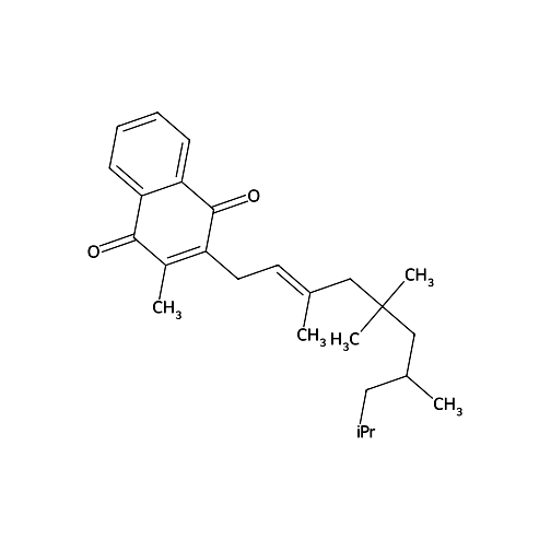 CC1=C(C/C=C(\C)CC(C)(C)CC(C)CC(C)C)C(=O)c2ccccc2C1=O